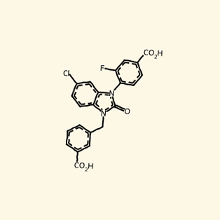 O=C(O)c1cccc(Cn2c(=O)n(-c3ccc(C(=O)O)cc3F)c3cc(Cl)ccc32)c1